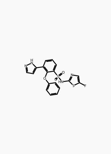 O=S(=O)(Nc1ncc(F)s1)c1cccc(-c2ccn[nH]2)c1Oc1ccccc1